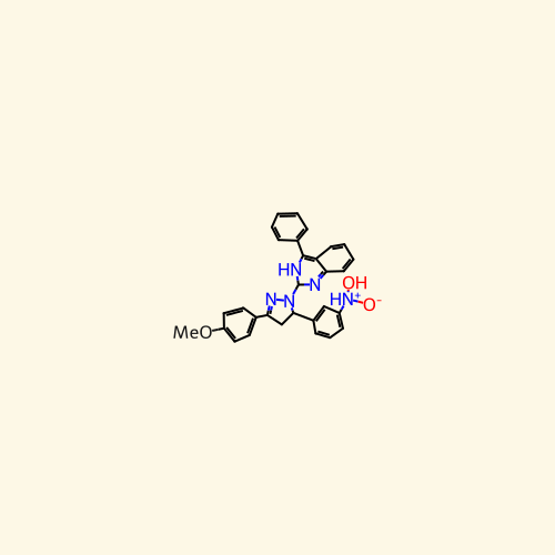 COc1ccc(C2=NN(C3N=c4ccccc4=C(c4ccccc4)N3)C(c3cccc([NH+]([O-])O)c3)C2)cc1